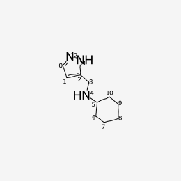 c1cc(CNC2CCCCC2)[nH]n1